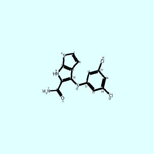 NC(=O)c1[nH]c2sccc2c1Sc1cc(Cl)cc(Cl)c1